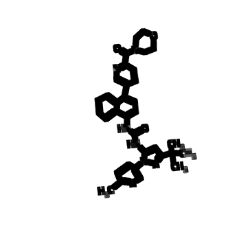 Cc1ccc(-n2nc(C(C)(C)C)cc2NC(=O)Nc2ccc(-c3ccc(C(=O)N4CCOCC4)nc3)c3ccccc23)cn1